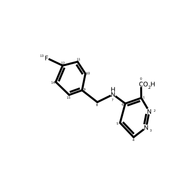 O=C(O)c1nnccc1NCc1ccc(F)cc1